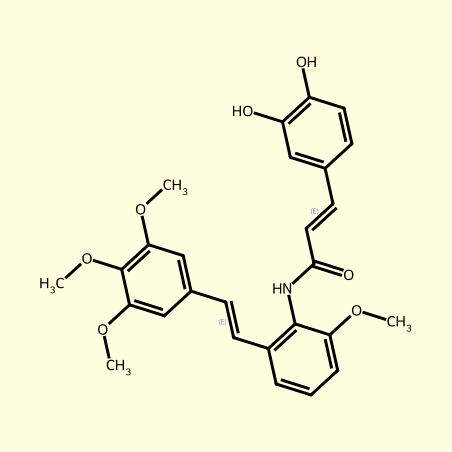 COc1cccc(/C=C/c2cc(OC)c(OC)c(OC)c2)c1NC(=O)/C=C/c1ccc(O)c(O)c1